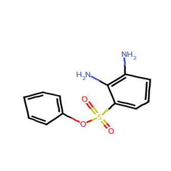 Nc1cccc(S(=O)(=O)Oc2ccccc2)c1N